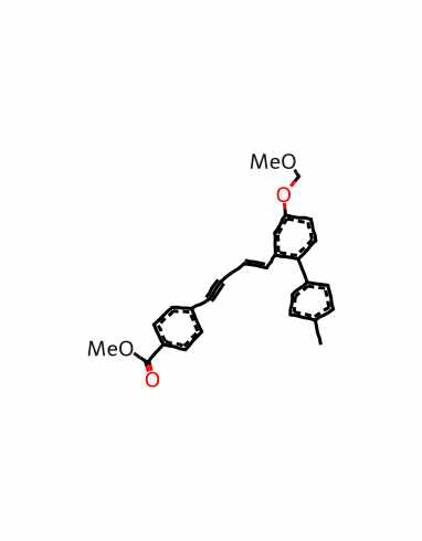 COCOc1ccc(-c2ccc(C)cc2)c(/C=C/C#Cc2ccc(C(=O)OC)cc2)c1